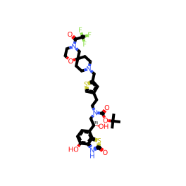 CC(C)(C)OC(=O)N(CCc1csc(CN2CCC3(CC2)CN(C(=O)C(F)(F)F)CCO3)c1)C[C@H](O)c1ccc(O)c2[nH]c(=O)sc12